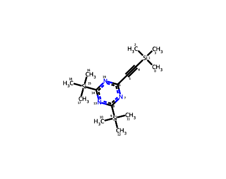 C[Si](C)(C)C#Cc1nc([Si](C)(C)C)nc([Si](C)(C)C)n1